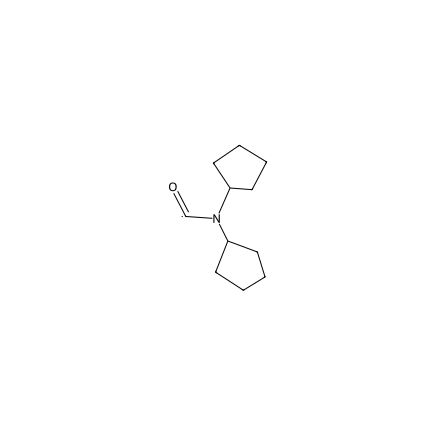 O=[C]N(C1CCCC1)C1CCCC1